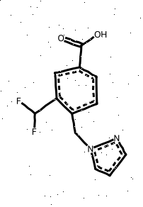 O=C(O)c1ccc(Cn2cccn2)c(C(F)F)c1